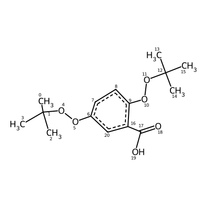 CC(C)(C)OOc1ccc(OOC(C)(C)C)c(C(=O)O)c1